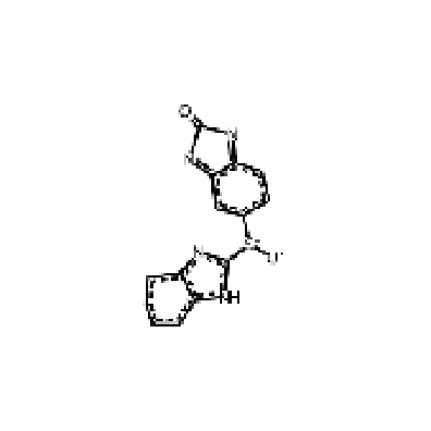 O=C1N=c2[c]c([S+]([O-])c3nc4ccccc4[nH]3)ccc2=N1